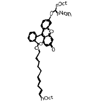 CCCCCCCCC=CCCCCCCCCOC(=O)c1ccccc1-c1c2ccc(=O)cc-2oc2cc(OC(CCCCCCCC)CCCCCCCCC)ccc12